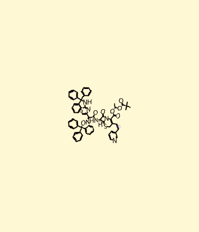 CC(OC(=O)C1=C(/C=C\c2cccnc2)CS[C@H]2[C@H](NC(=O)C(=NOC(c3ccccc3)(c3ccccc3)c3ccccc3)c3csc(NC(c4ccccc4)(c4ccccc4)c4ccccc4)n3)C(=O)N12)OC(=O)C(C)(C)C